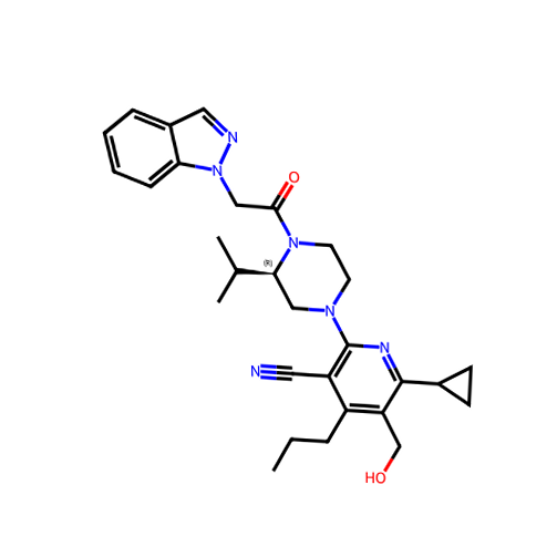 CCCc1c(C#N)c(N2CCN(C(=O)Cn3ncc4ccccc43)[C@H](C(C)C)C2)nc(C2CC2)c1CO